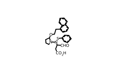 O=CC(CC(=O)O)N(Sc1ccccc1)N1CCCC1OCCc1cccc2ccccc12